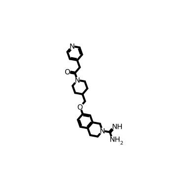 N=C(N)N1CCc2ccc(OCC3CCN(C(=O)Cc4ccncc4)CC3)cc2C1